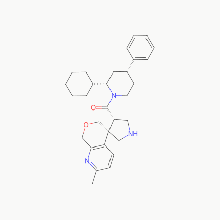 Cc1ccc2c(n1)COC[C@]21CNC[C@H]1C(=O)N1CC[C@@H](c2ccccc2)C[C@H]1C1CCCCC1